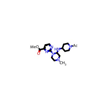 COC(=O)c1ccnc(N2CCN(C)CC2NC2CCN(C(C)=O)CC2)n1